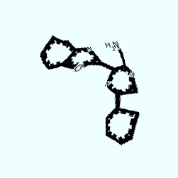 Nc1ncc(-c2ccccc2)nc1-c1nc2ccccc2o1